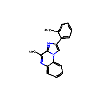 COc1ccccc1-c1cn2c(n1)c(OC)nc1ccccc12